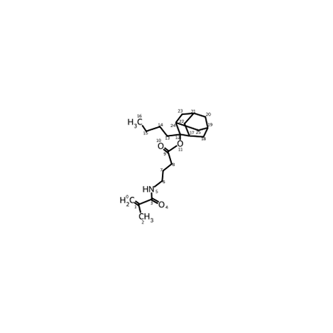 C=C(C)C(=O)NCCCC(=O)OC1(CCCC)C2CC3CC(C2)CC1C3